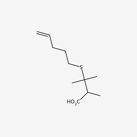 C=CCCCSC(C)(C)C(C)C(=O)O